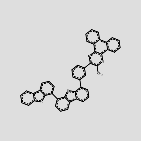 Cc1nc2c3ccccc3c3ccccc3c2nc1-c1cccc(-c2cccc3c2sc2c(-c4cccc5c4sc4ccccc45)cccc23)c1